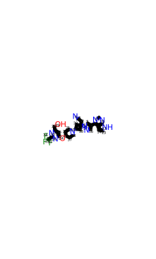 N#CCC1(n2cc(-c3ncnc4[nH]ccc34)cn2)CC(N2CCC(Oc3cc(CO)nc(C(F)(F)F)n3)CC2)C1